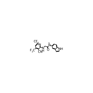 CN(C(=O)CNc1nc(C(F)(F)F)cc(C(F)(F)F)c1C#N)c1ccc2[nH]ccc2c1